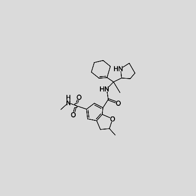 CNS(=O)(=O)c1cc2c(c(C(=O)NC(C)(C3=CCCCC3)C3CCCN3)c1)OC(C)C2